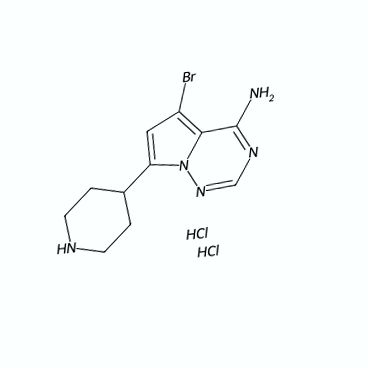 Cl.Cl.Nc1ncnn2c(C3CCNCC3)cc(Br)c12